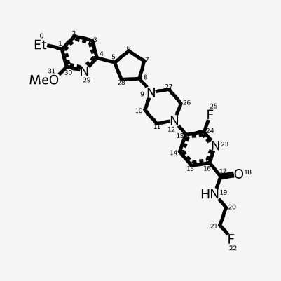 CCc1ccc(C2CCC(N3CCN(c4ccc(C(=O)NCCF)nc4F)CC3)C2)nc1OC